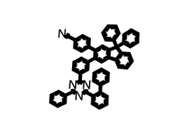 N#Cc1ccc(-c2cc3c(cc2-c2cccc(-c4nc(-c5ccccc5)nc(-c5ccccc5-c5ccccc5)n4)c2)-c2ccccc2C3(c2ccccc2)c2ccccc2)cc1